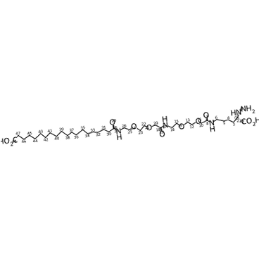 NN[C@@H](CCCCNC(=O)COCCOCCNC(=O)COCCOCCNC(=O)CCCCCCCCCCCCCCCCCCC(=O)O)C(=O)O